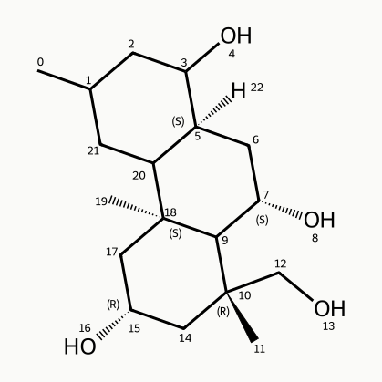 CC1CC(O)[C@H]2C[C@H](O)C3[C@](C)(CO)C[C@H](O)C[C@@]3(C)C2C1